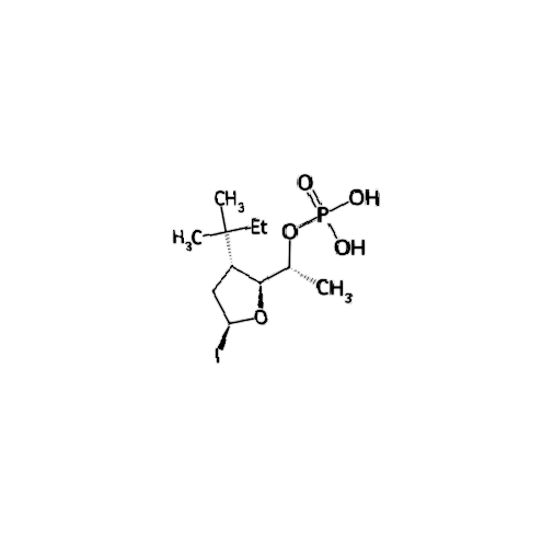 CCC(C)(C)[C@H]1C[C@H](I)O[C@@H]1[C@@H](C)OP(=O)(O)O